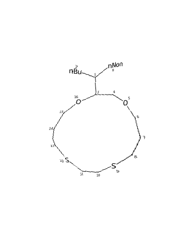 CCCCCCCCCC(CCCC)C1COCCCSCCSCCCO1